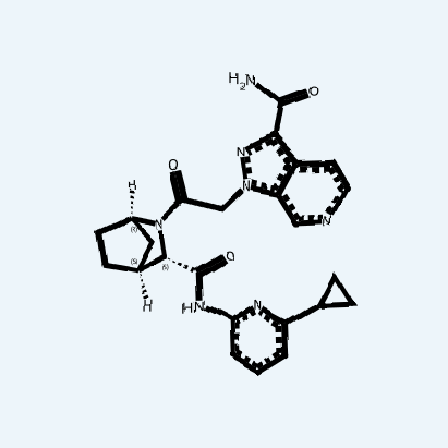 NC(=O)c1nn(CC(=O)N2[C@@H]3CC[C@@H](C3)[C@H]2C(=O)Nc2cccc(C3CC3)n2)c2cnccc12